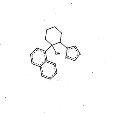 OC1(c2cccc3ccccc23)CCCCC1n1cncn1